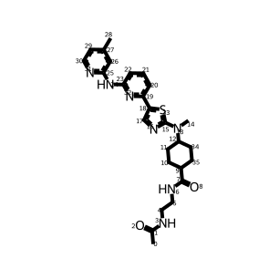 CC(=O)NCCNC(=O)C1CCC(N(C)c2ncc(-c3cccc(Nc4cc(C)ccn4)n3)s2)CC1